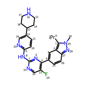 CC(C)c1c2cc(-c3nc(Nc4ccc(C5CCNCC5)cn4)ncc3F)ccc2nn1C